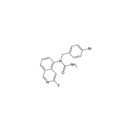 NC(=O)N(Cc1ccc(Br)cc1)c1cccc2cnc(F)cc12